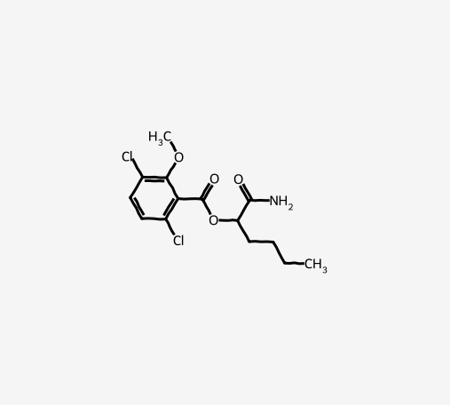 CCCCC(OC(=O)c1c(Cl)ccc(Cl)c1OC)C(N)=O